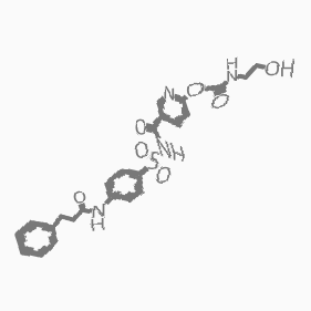 O=C(CCc1ccccc1)Nc1ccc(S(=O)(=O)NC(=O)c2ccc(OC(=O)NCCO)nc2)cc1